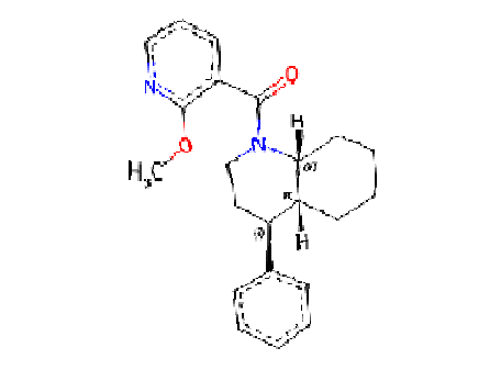 COc1ncccc1C(=O)N1CC[C@H](c2ccccc2)[C@H]2CCCC[C@H]21